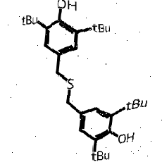 CC(C)(C)c1cc(CSCc2cc(C(C)(C)C)c(O)c(C(C)(C)C)c2)cc(C(C)(C)C)c1O